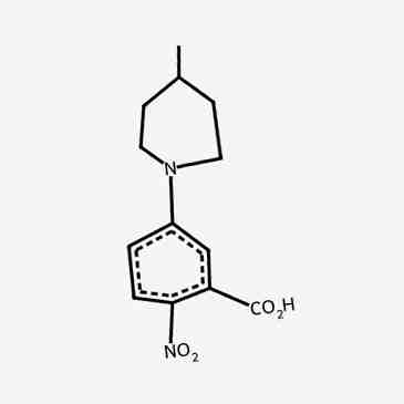 CC1CCN(c2ccc([N+](=O)[O-])c(C(=O)O)c2)CC1